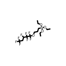 CCO[Si](CCCOC(F)(F)C(F)(F)C(F)CC(F)(F)F)(OCC)OCC